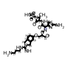 CC1C(NC(=O)/C(=N\OC(C=O)COc2ccc3c(c2)CN(C(=N)NCCCN)C3)c2csc(N)n2)C(=O)N1S(=O)(=O)O